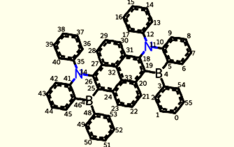 c1ccc(B2c3ccccc3N(c3ccccc3)c3c2c2cccc4c5c(c6cccc3c6c24)N(c2ccccc2)c2ccccc2B5c2ccccc2)cc1